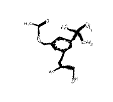 C[C](CO)c1cc(OC(C)=O)cc(C(C)(C)C)c1